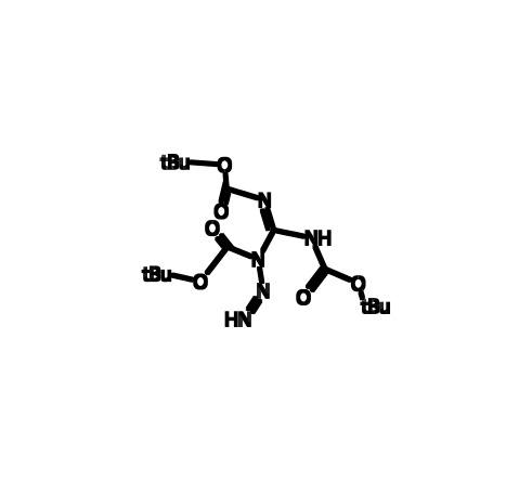 CC(C)(C)OC(=O)/N=C(/NC(=O)OC(C)(C)C)N(N=N)C(=O)OC(C)(C)C